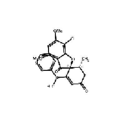 COc1cc(OC)c2c(c1Cl)O[C@]1(C2=O)C(N(C)c2cccnc2)=CC(=O)C[C@H]1C